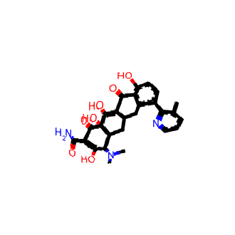 Cc1cccnc1-c1ccc(O)c2c1CC1CC3C(N(C)C)C(O)=C(C(N)=O)C(=O)C3(O)C(O)=C1C2=O